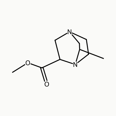 COC(=O)C1CN2CCN1C(C)C2